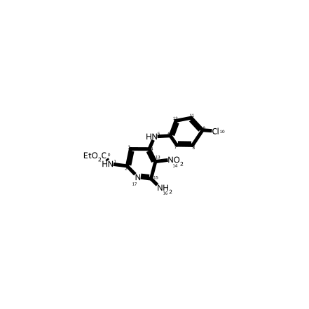 CCOC(=O)Nc1cc(Nc2ccc(Cl)cc2)c([N+](=O)[O-])c(N)n1